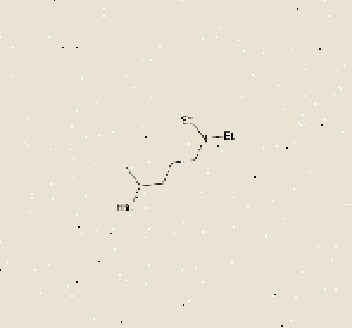 CCN(CC)CCCC(C)C(C)(C)C